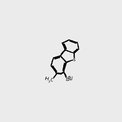 Cc1ccc2c(sc3ccccc32)c1C(C)(C)C